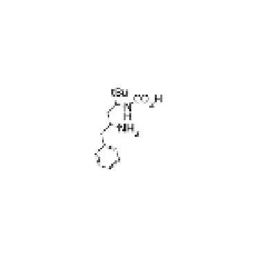 CC(C)(C)C(CC(N)Cc1ccccc1)NC(=O)O